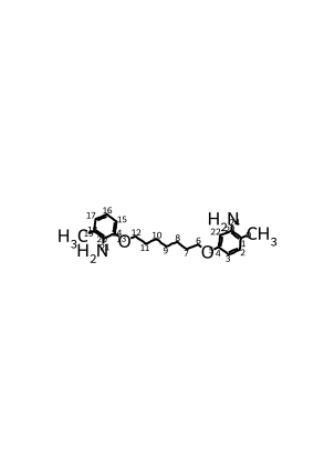 Cc1ccc(OCCCCCCCOc2cccc(C)c2N)cc1N